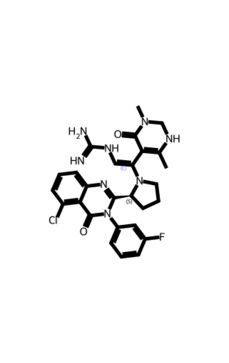 CC1=C(/C(=C\NC(=N)N)N2CCC[C@H]2c2nc3cccc(Cl)c3c(=O)n2-c2cccc(F)c2)C(=O)N(C)CN1